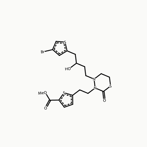 COC(=O)c1ccc(CCN2C(=O)SCCN2CCC(O)Cc2cc(Br)cs2)s1